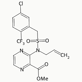 C=CCN(c1nccnc1C(=O)OC)S(=O)(=O)Cc1cc(Cl)ccc1C(F)(F)F